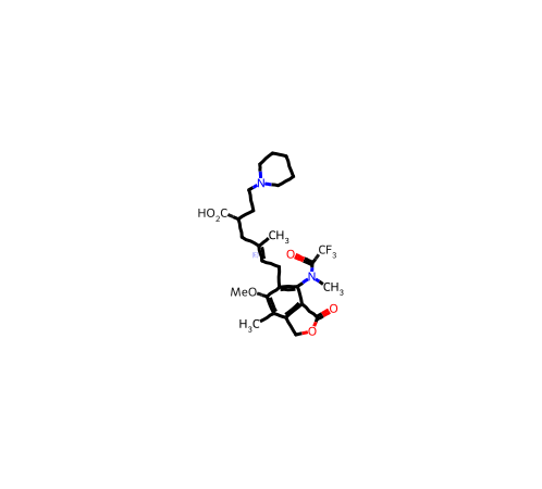 COc1c(C)c2c(c(N(C)C(=O)C(F)(F)F)c1C/C=C(\C)CC(CCN1CCCCC1)C(=O)O)C(=O)OC2